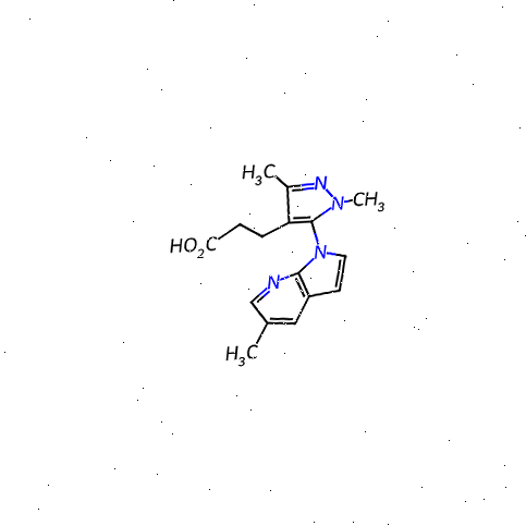 Cc1cnc2c(ccn2-c2c(CCC(=O)O)c(C)nn2C)c1